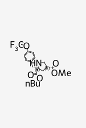 CCCCOC(=O)[C@]1(Cc2ccc(OC(F)(F)F)cc2)C[C@@H](C(=O)OC)CN1